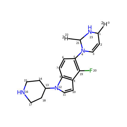 [2H]C1C=CN(c2ccc3c(ccn3C3CCNCC3)c2F)C([2H])N1